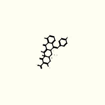 CC(C)(C)c1ccc(/C=C2\c3cccc(O)c3C(=O)C3=C(O)C4(O)C(=O)C(C(N)=O)=C(O)C[C@@H]4[C@@H](O)[C@@H]32)cc1